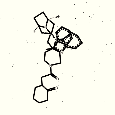 Cc1nc2ccccc2n1C1C[C@H]2CC[C@@H](C1)N2CCC1(c2ccccc2)CCN(C(=O)CC2CCCCC2=O)CC1